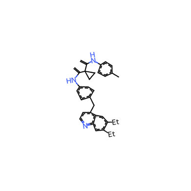 C=C(Nc1ccc(C)cc1)C1(C(=C)Nc2ccc(Cc3ccnc4cc(CC)c(CC)cc34)cc2)CC1